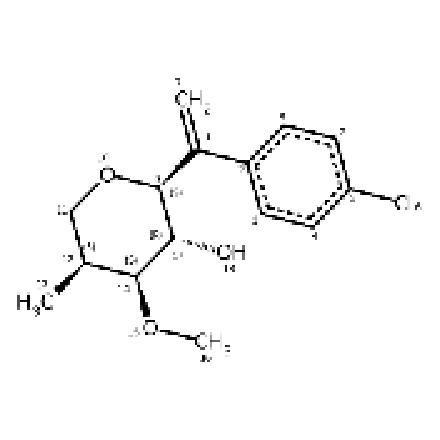 C=C(c1ccc(Cl)cc1)[C@@H]1OC[C@H](C)[C@H](OC)[C@H]1O